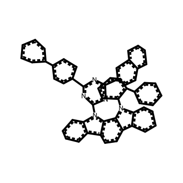 c1ccc(-c2ccc(-c3nc(-c4ccc5ccccc5c4)nc(-n4c5ccccc5c5ccc6c7ccccc7n(-c7ccccc7-c7ccccc7)c6c54)n3)cc2)cc1